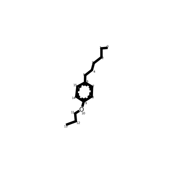 CCCCCCc1ccc(OCCC)cc1